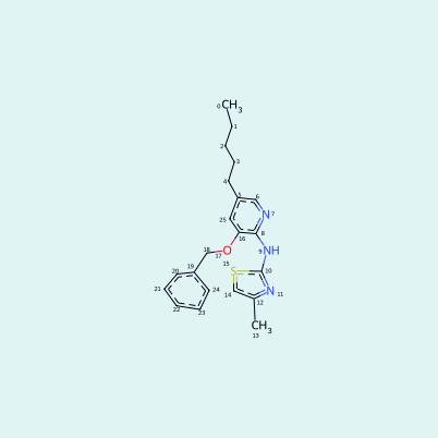 CCCCCc1cnc(Nc2nc(C)cs2)c(OCc2ccccc2)c1